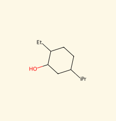 CCC1CCC(C(C)C)CC1O